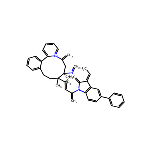 C=NC1(C)CC(=C)[n+]2ccccc2-c2ccccc2CCC1(C)/C(C)=C/C(=C)n1c(=C)/c(=C\C)c2cc(-c3ccccc3)ccc21